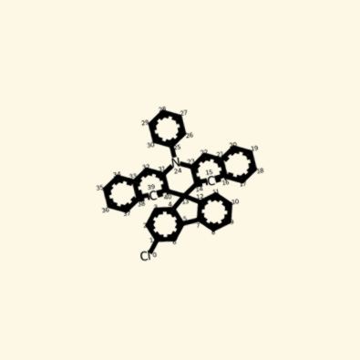 Clc1ccc2c(c1)-c1ccccc1C21c2cc3ccccc3cc2N(c2ccccc2)c2cc3ccccc3cc21